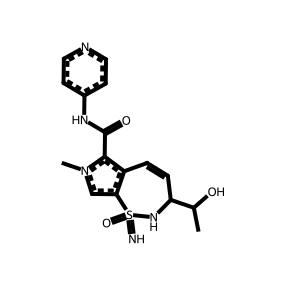 CC(O)C1C=Cc2c(cn(C)c2C(=O)Nc2ccncc2)S(=N)(=O)N1